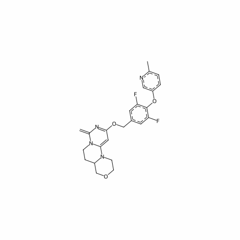 C=C1N=C(OCc2cc(F)c(Oc3ccc(C)nc3)c(F)c2)C=C2N1CCC1COCCN21